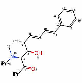 CC(C)C(=O)[C@H]([C@H](O)[C@H](C)/C=C/C=C/c1ccccc1)N(C)C(C)C